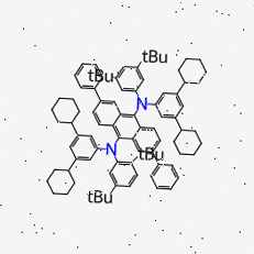 CC(C)(C)c1cc(N(c2cc(C3CCCCC3)cc(C3CCCCC3)c2)c2c3cc(-c4ccccc4)ccc3c(N(c3cc(C4CCCCC4)cc(C4CCCCC4)c3)c3cc(C(C)(C)C)ccc3C(C)(C)C)c3cc(-c4ccccc4)ccc23)cc(C(C)(C)C)c1